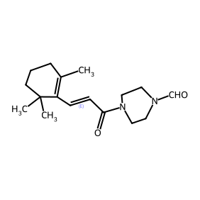 CC1=C(/C=C/C(=O)N2CCN(C=O)CC2)C(C)(C)CCC1